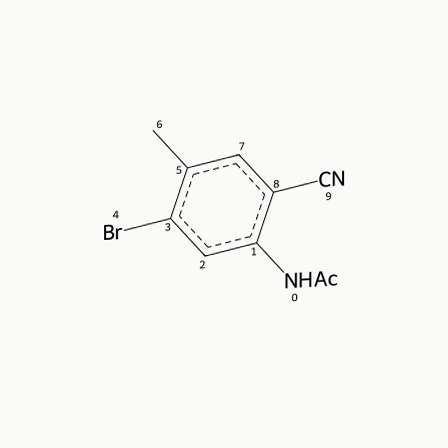 CC(=O)Nc1cc(Br)c(C)cc1C#N